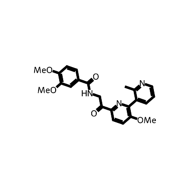 COc1ccc(C(=O)NCC(=O)c2ccc(OC)c(-c3cccnc3C)n2)cc1OC